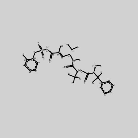 CN[C@H](C(=O)N[C@H](C(=O)N(C)[C@H](/C=C(\C)C(=O)NS(=O)(=O)Cc1ccccc1C)C(C)C)C(C)(C)C)C(C)(C)c1ccccc1